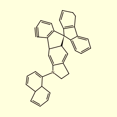 c1ccc2c(c#1)C1C=C3C(=CC1[C@]21C2=C(CCC=C2)c2ccccc21)CCN3C1=CC=CC2C=CC=CC12